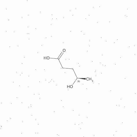 C[C@@H](O)CCC(=O)O